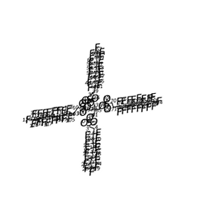 O=S(=O)(CCC(F)(F)C(F)(F)C(F)(F)C(F)(F)C(F)(F)C(F)(F)C(F)(F)C(F)(F)F)OCC(COS(=O)(=O)CCC(F)(F)C(F)(F)C(F)(F)C(F)(F)C(F)(F)C(F)(F)C(F)(F)C(F)(F)F)(COS(=O)(=O)CCC(F)(F)C(F)(F)C(F)(F)C(F)(F)C(F)(F)C(F)(F)C(F)(F)C(F)(F)F)COS(=O)(=O)CCC(F)(F)C(F)(F)C(F)(F)C(F)(F)C(F)(F)C(F)(F)C(F)(F)C(F)(F)F